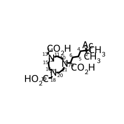 CC(=O)C(C)(C)CCCC(C(=O)O)N1CCN(CC(=O)O)CCN(CC(=O)O)CC1